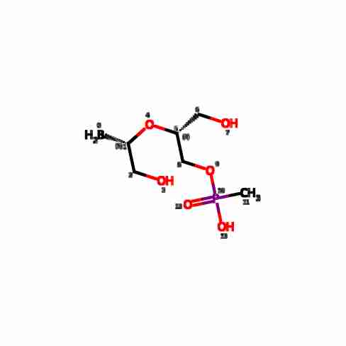 B[C@@H](CO)O[C@H](CO)COP(C)(=O)O